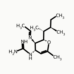 C/C=N/[C@H]1[C@H]([C@H](C)[C@H](C)CC)OC(C)=C[C@@H]1NC(=N)N